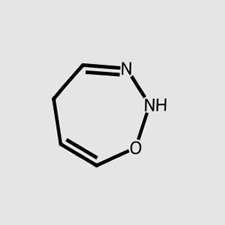 C1=CONN=CC1